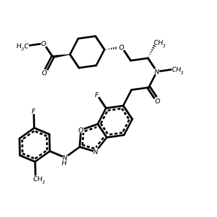 COC(=O)[C@H]1CC[C@H](OC[C@H](C)N(C)C(=O)Cc2ccc3nc(Nc4cc(F)ccc4C)oc3c2F)CC1